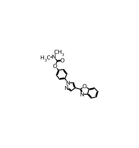 CN(C)C(=O)Oc1ccc(-n2cc(-c3nc4ccccc4o3)cn2)cc1